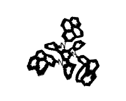 C1=Cc2cccc3c2C2C1=CC(n1c4ccccc4c4c1c1c5ccccc5n(-c5cc6ccc7cccc8ccc(c5)c6c78)c1c1c5ccccc5n(-c5cc6ccc7cccc8ccc(c5)c6c78)c41)=CC2C=C3